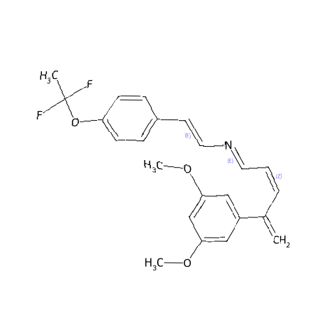 C=C(\C=C/C=N/C=C/c1ccc(OC(C)(F)F)cc1)c1cc(OC)cc(OC)c1